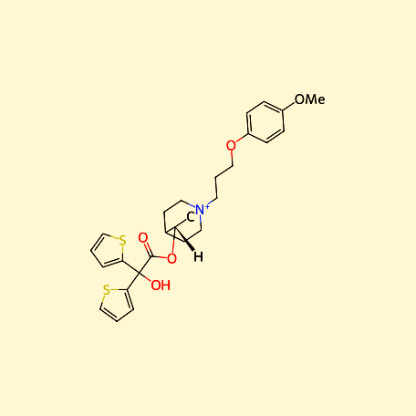 COc1ccc(OCCC[N+]23CCC(CC2)[C@@H](OC(=O)C(O)(c2cccs2)c2cccs2)C3)cc1